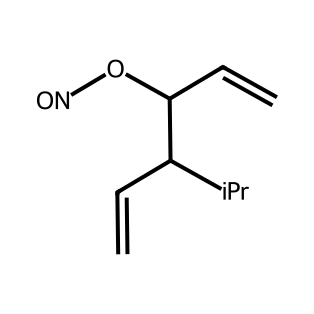 C=CC(ON=O)C(C=C)C(C)C